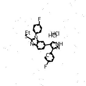 CCSc1nc2ccc(-c3c[nH]nc3-c3ccc(F)cc3)cc2n1-c1ccc(F)cc1.Cl.Cl